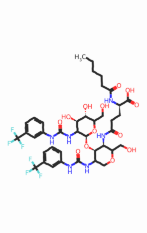 CCCCCC(=O)N[C@H](CCC(=O)N[C@H]1C(CO)OCC(NC(=O)Nc2cccc(C(F)(F)F)c2)[C@H]1O[C@@H]1OC(CO)[C@@H](O)[C@H](O)C1NC(=O)Nc1cccc(C(F)(F)F)c1)C(=O)O